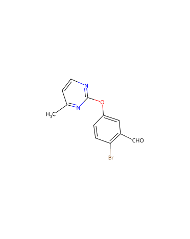 Cc1ccnc(Oc2ccc(Br)c(C=O)c2)n1